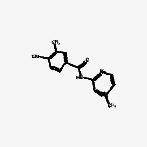 Cc1cc(C(=O)Nc2cc(C(F)(F)F)ccn2)ccc1C(C)(C)C